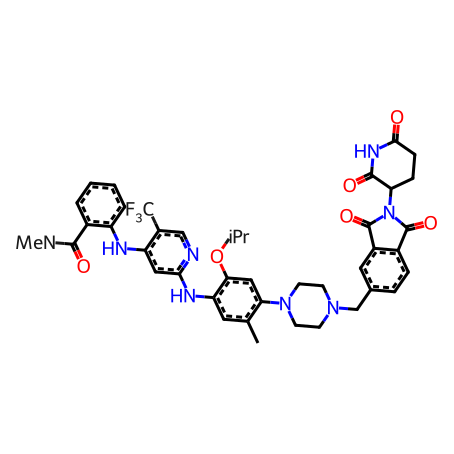 CNC(=O)c1ccccc1Nc1cc(Nc2cc(C)c(N3CCN(Cc4ccc5c(c4)C(=O)N(C4CCC(=O)NC4=O)C5=O)CC3)cc2OC(C)C)ncc1C(F)(F)F